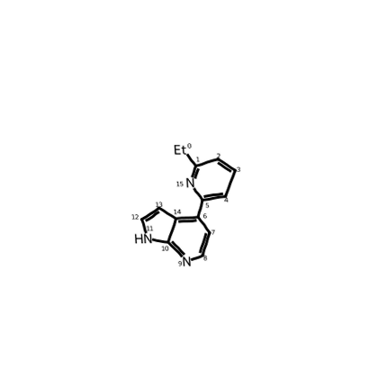 CCc1cccc(-c2ccnc3[nH]ccc23)n1